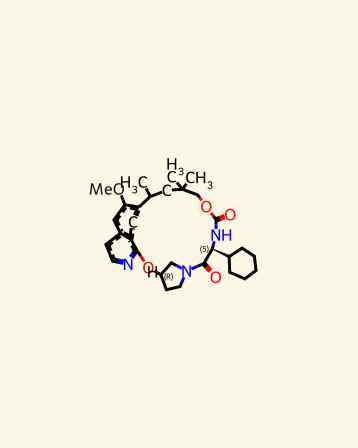 COc1cc2ccnc3c2cc1C(C)CC(C)(C)COC(=O)N[C@@H](C1CCCCC1)C(=O)N1CC[C@H](C1)O3